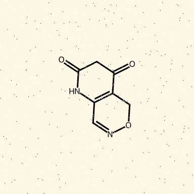 O=C1CC(=O)C2=C(C=NOC2)N1